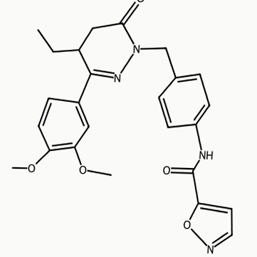 CCC1CC(=O)N(Cc2ccc(NC(=O)c3ccno3)cc2)N=C1c1ccc(OC)c(OC)c1